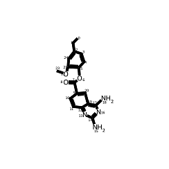 CCc1ccc(OC(=O)c2ccc3nc(N)nc(N)c3c2)c(OC)c1